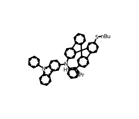 CCCCSc1ccc2c(c1)C1(c3ccccc3-c3ccc(N(c4ccccc4)c4ccc5c(c4)c4ccccc4n5-c4ccccc4)cc31)c1cc(C(S)CCC)ccc1-2